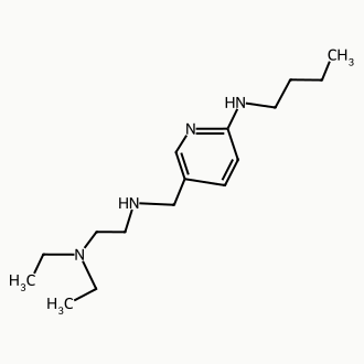 CCCCNc1ccc(CNCCN(CC)CC)cn1